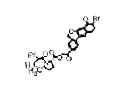 CC(C)[C@H](C)C(=O)N1[C@@H](C)CC[C@H]1C(=O)OCC(=O)c1ccc2c(c1)COc1cc3c(cc1-2)CCC(Br)C3=O